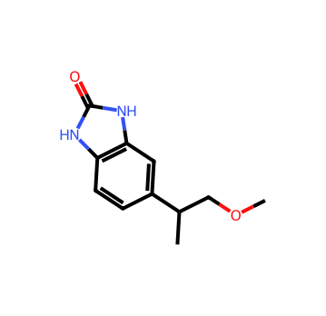 COCC(C)c1ccc2[nH]c(=O)[nH]c2c1